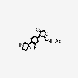 CC(=O)NC[C@@H]1OCC(=O)N1c1ccc(C2CNCCO2)c(F)c1